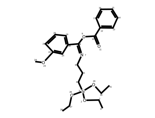 CCO[Si](CCCN=C(OC(=O)c1ccccc1)c1cccc(OC)c1)(OCC)OCC